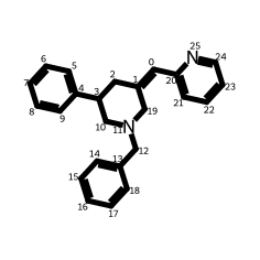 C(=C1CC(c2ccccc2)CN(Cc2ccccc2)C1)c1ccccn1